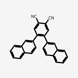 N#Cc1cc(-c2ccc3ccccc3c2)c(-c2ccc3ccccc3c2)cc1C#N